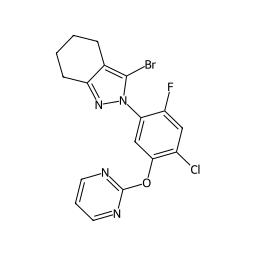 Fc1cc(Cl)c(Oc2ncccn2)cc1-n1nc2c(c1Br)CCCC2